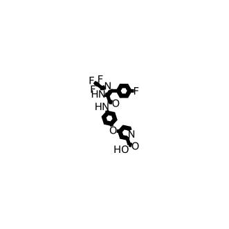 O=C(O)c1cc(Oc2ccc(NC(=O)c3[nH]c(C(F)(F)F)nc3-c3ccc(F)cc3)cc2)ccn1